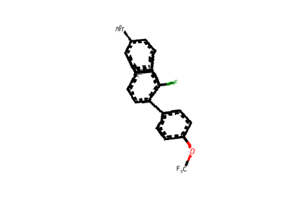 CCCc1ccc2c(F)c(-c3ccc(OC(F)(F)F)cc3)ccc2c1